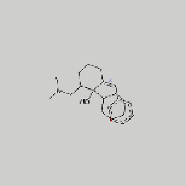 CN(C)CC1CCC/C(=C/c2ccccc2)C1(O)C1CCCCC1